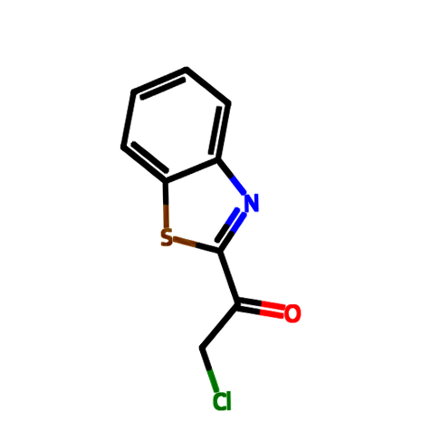 O=C(CCl)c1nc2ccccc2s1